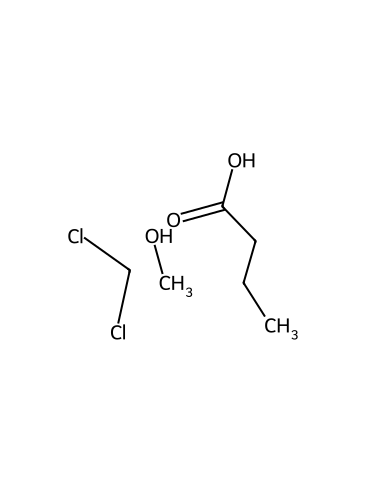 CCCC(=O)O.CO.ClCCl